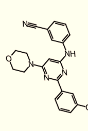 N#Cc1cccc(Nc2cc(N3CCOCC3)nc(-c3cccc(O)c3)n2)c1